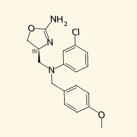 COc1ccc(CN(C[C@H]2COC(N)=N2)c2cccc(Cl)c2)cc1